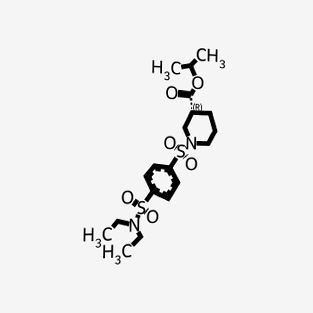 CCN(CC)S(=O)(=O)c1ccc(S(=O)(=O)N2CCC[C@@H](C(=O)OC(C)C)C2)cc1